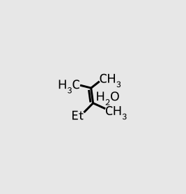 CCC(C)=C(C)C.O